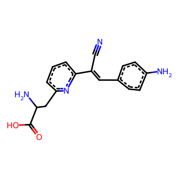 N#CC(=Cc1ccc(N)cc1)c1cccc(CC(N)C(=O)O)n1